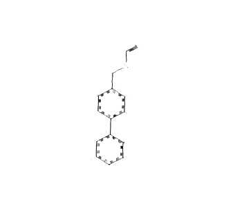 C=CNCc1ccc(-c2ccccc2)cc1